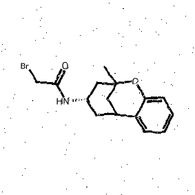 CC12CC(C[C@H](NC(=O)CBr)C1)c1ccccc1O2